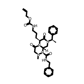 C=CCOC(=O)NCCC[C@H]1C(=O)N([C@H](C)c2ccccc2)C[C@H]2N1C(=O)CN(C)N2C(=O)NCc1ccccc1